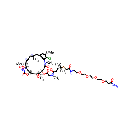 COc1cc2cc(c1Cl)N(C)C(=O)C[C@H](OC(=O)CN(C)C(=O)CCC(C)(C)SCC(=O)NCCOCCOCCOCCOCCC(N)=O)[C@]1(C)OC1C[C@@H]1C[C@@](O)(NC(=O)O1)[C@H](OC)/C=C/C=C(\C)C2